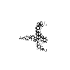 CC(=O)N1CCN(c2ccc(CN(C(=O)C=Cc3ccc(C(C)(C)C)cc3)[C@@H](Cc3ccccc3)C(=O)N3CCN(Cc4ccc(S(C)(=O)=O)cc4)CC3)cc2)CC1